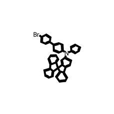 Brc1ccc(-c2ccc(N(c3ccccc3)c3ccc4c(c3)C3(c5ccccc5-c5ccccc53)c3ccccc3-4)cc2)cc1